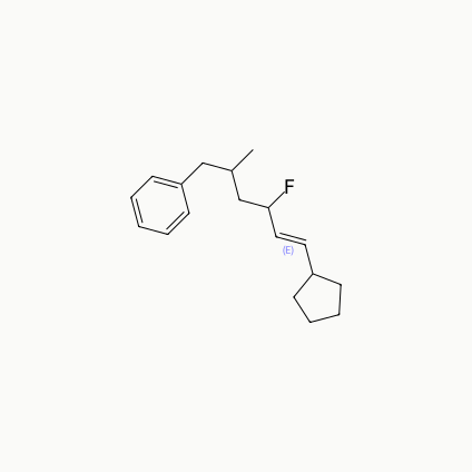 CC(Cc1ccccc1)CC(F)/C=C/C1CCCC1